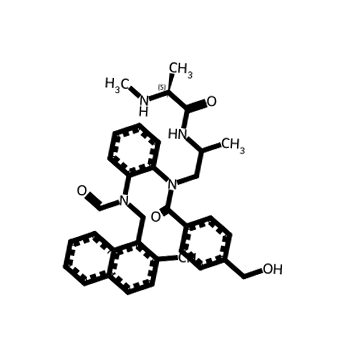 CN[C@@H](C)C(=O)NC(C)CN(C(=O)c1ccc(CO)cc1)c1ccccc1N(C=O)Cc1c(C)ccc2ccccc12